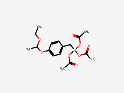 CCOC(C)Oc1ccc(C[Si](OC(C)=O)(OC(C)=O)OC(C)=O)cc1